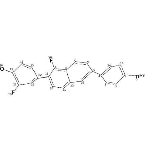 CCCCCc1ccc(-c2ccc3c(F)c(-c4ccc(OC)c(F)c4)ccc3c2)cc1